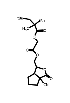 CC(C)(C)CC(C)(C(=O)OCC(=O)OCC1OC(=O)C2(C#N)CCCC12)C(C)(C)C